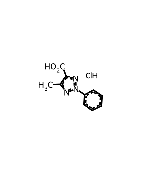 Cc1nn(-c2ccccc2)nc1C(=O)O.Cl